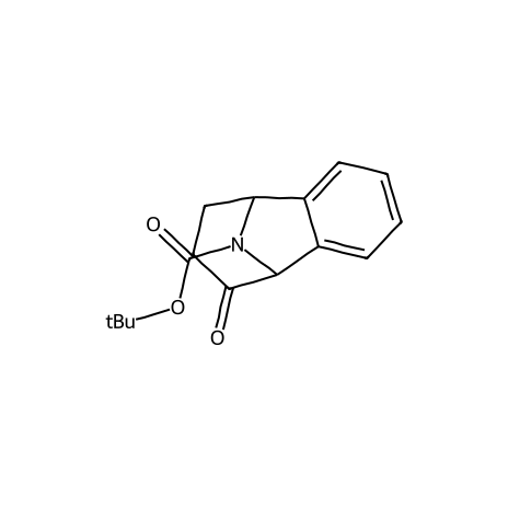 CC(C)(C)OC(=O)N1C2CCC(=O)C1c1ccccc12